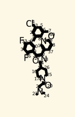 Cc1cc(Cl)cc(C)c1-n1cc(-c2nc(C3CCN(C(=O)CN(C)C)CC3)oc2-c2ccc(F)cc2F)ccc1=O